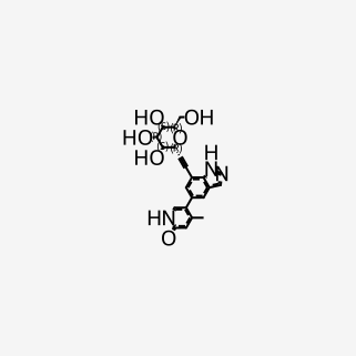 Cc1cc(=O)[nH]cc1-c1cc(C#C[C@H]2O[C@H](CO)[C@@H](O)[C@H](O)[C@@H]2O)c2[nH]ncc2c1